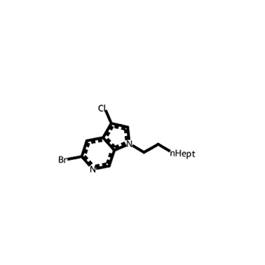 CCCCCCCCCn1cc(Cl)c2cc(Br)ncc21